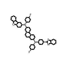 Fc1ccc(N(c2ccc(-c3nc4ccccc4s3)cc2)c2ccc3c(ccc4cc(N(c5ccc(F)cc5)c5ccc6oc7ccccc7c6c5)ccc43)c2)cc1